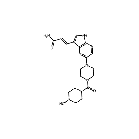 N#C[C@H]1CC[C@@H](C(=O)N2CCN(c3cnc4[nH]cc(/C=C/C(N)=O)c4n3)CC2)CC1